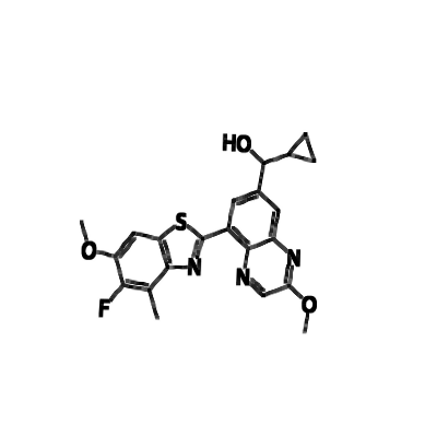 COc1cnc2c(-c3nc4c(C)c(F)c(OC)cc4s3)cc(C(O)C3CC3)cc2n1